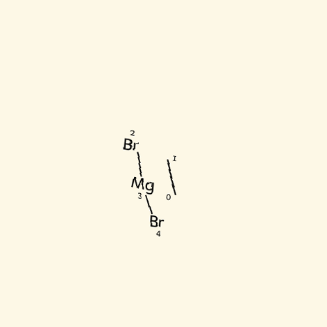 CC.[Br][Mg][Br]